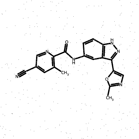 Cc1ncc(-c2n[nH]c3ccc(NC(=O)c4ncc(C#N)cc4C)cc23)o1